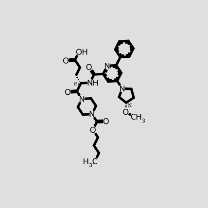 CCCCOC(=O)N1CCN(C(=O)[C@H](CCC(=O)O)NC(=O)c2cc(N3CC[C@H](OC)C3)cc(-c3ccccc3)n2)CC1